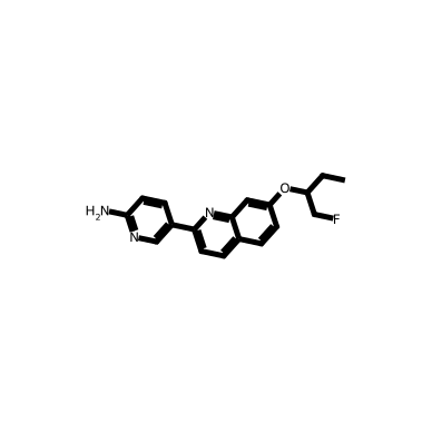 CCC(CF)Oc1ccc2ccc(-c3ccc(N)nc3)nc2c1